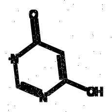 O=C1C=C(O)N=C[N]1